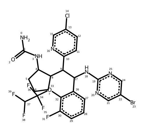 NC(=O)NC1CCCC1C(c1ccc(Cl)cn1)C(Nc1ncc(Br)cn1)c1cccc(F)c1OC(F)(F)C(F)F